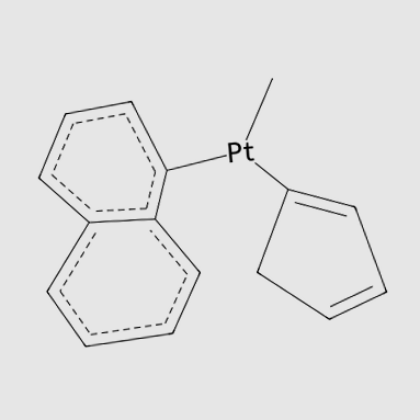 [CH3][Pt]([C]1=CC=CC1)[c]1cccc2ccccc12